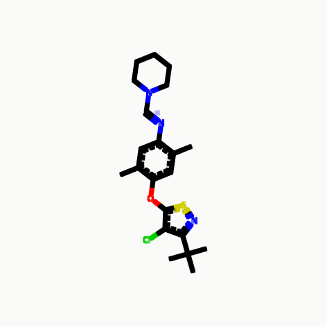 Cc1cc(Oc2snc(C(C)(C)C)c2Cl)c(C)cc1/N=C/N1CCCCC1